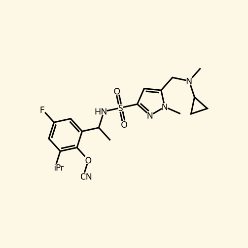 CC(C)c1cc(F)cc(C(C)NS(=O)(=O)c2cc(CN(C)C3CC3)n(C)n2)c1OC#N